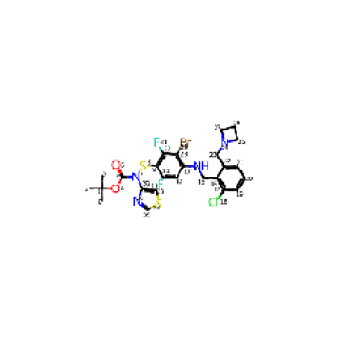 CC(C)(C)OC(=O)N(Sc1c(F)cc(NCc2c(Cl)cccc2CN2CCC2)c(Br)c1F)c1cscn1